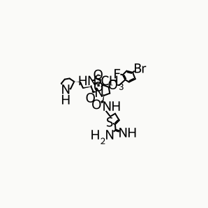 CS(=O)(=O)N[C@H](CC[C@H]1CCCNC1)C(=O)N1C[C@H](OCc2ccc(Br)cc2F)C[C@H]1C(=O)NCC1CC=C(C(=N)N)S1